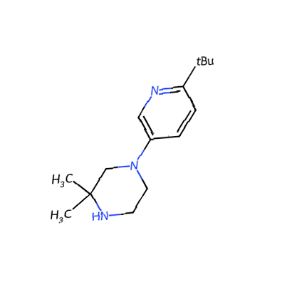 CC1(C)CN(c2ccc(C(C)(C)C)nc2)CCN1